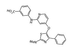 CNc1nc(-c2ccccc2)c(Oc2ccnc(Nc3cccc(C(=O)O)c3)c2)s1